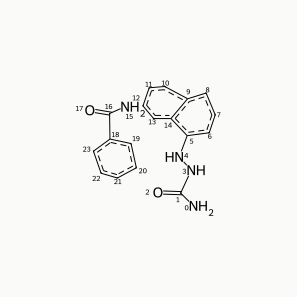 NC(=O)NNc1cccc2ccccc12.NC(=O)c1ccccc1